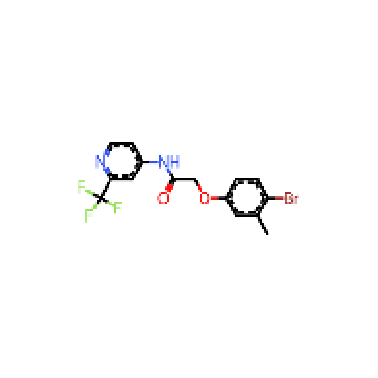 Cc1cc(OCC(=O)Nc2ccnc(C(F)(F)F)c2)ccc1Br